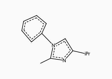 Cc1nc(C(C)C)cn1-c1ccccc1